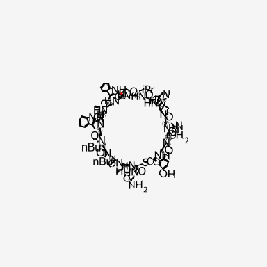 C=CC[C@@H]1NC(=O)[C@H](Cc2c[nH]c3ccccc23)NC(=O)[C@@H]2CCCN2C(=O)[C@H](CC(C)C)NC(=O)[C@H](Cc2cnc[nH]2)NC(=O)C2CCCN2C(=O)[C@H](CC(N)=O)NC(=O)[C@H](C)N(C)C(=O)[C@H](Cc2ccc(O)cc2)NC(=O)CSC[C@@H](C(=O)NCC(N)=O)NC(=O)[C@H](CC=C)NC(=O)[C@H](CCCC)N(C)C(=O)[C@H](CCCC)N(C)C(=O)[C@H](Cc2c[nH]c3ccccc23)NC1=O